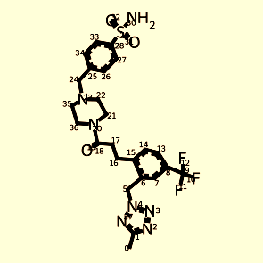 Cc1nnn(Cc2cc(C(F)(F)F)ccc2CCC(=O)N2CCN(Cc3ccc(S(N)(=O)=O)cc3)CC2)n1